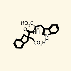 O=C(O)CC1(C(=O)N[C@@H](Cc2c[nH]c3ccccc23)C(=O)O)Cc2ccccc2C1